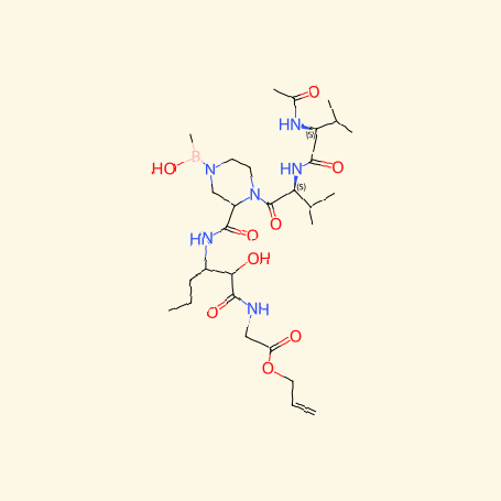 C=CCOC(=O)CNC(=O)C(O)C(CCC)NC(=O)C1CN(B(C)O)CCN1C(=O)[C@@H](NC(=O)[C@@H](NC(C)=O)C(C)C)C(C)C